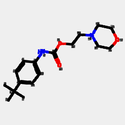 CC(C)(C)c1ccc(NC(=O)OCCN2CCOCC2)cc1